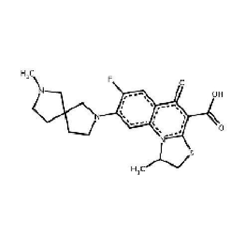 CC1CSc2c(C(=O)O)c(=O)c3cc(F)c(N4CCC5(CCN(C)C5)C4)cc3n21